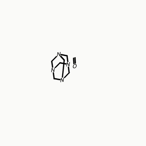 C1N2CN3CN1CN(C2)C3.C=O